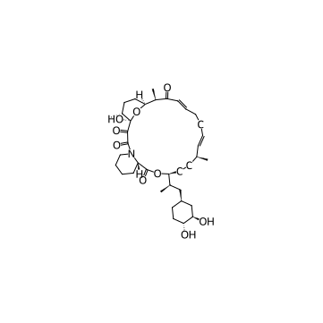 C[C@@H]1/C=C/CC/C=C/C(=O)[C@H](C)[C@@H]2CC[C@@H](C)[C@@](O)(O2)C(=O)C(=O)N2CCCC[C@H]2C(=O)O[C@H]([C@H](C)C[C@@H]2CC[C@@H](O)[C@H](O)C2)CC1